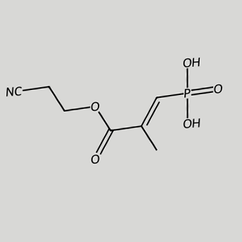 CC(=CP(=O)(O)O)C(=O)OCCC#N